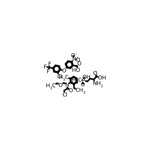 CCOCN(C(=O)CCl)c1c(C)cccc1CC.CP(=O)(O)CCC(N)C(=O)O.O=C(O)c1cc(Oc2ccc(C(F)(F)F)cc2Cl)ccc1[N+](=O)[O-]